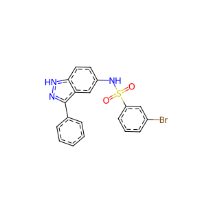 O=S(=O)(Nc1ccc2[nH]nc(-c3ccccc3)c2c1)c1cccc(Br)c1